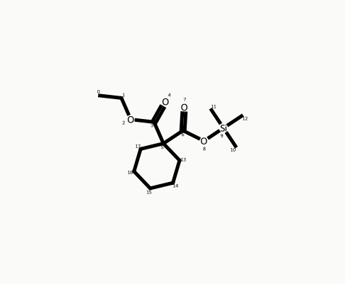 CCOC(=O)C1(C(=O)O[Si](C)(C)C)CCCCC1